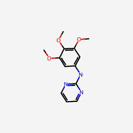 COc1cc([N]c2ncccn2)cc(OC)c1OC